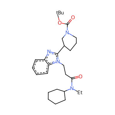 CCN(C(=O)CCn1c(C2CCCN(C(=O)OC(C)(C)C)C2)nc2ccccc21)C1CCCCC1